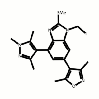 CSc1nc2c(-c3c(C)nn(C)c3C)cc(-c3c(C)noc3C)cc2n1CI